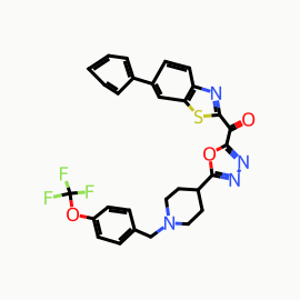 O=C(c1nnc(C2CCN(Cc3ccc(OC(F)(F)F)cc3)CC2)o1)c1nc2ccc(-c3ccccc3)cc2s1